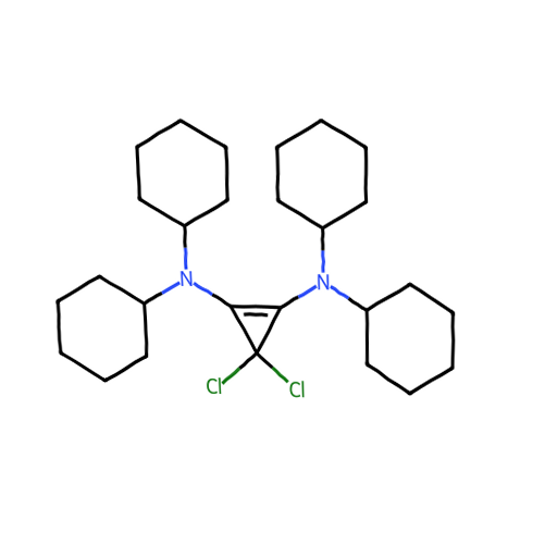 ClC1(Cl)C(N(C2CCCCC2)C2CCCCC2)=C1N(C1CCCCC1)C1CCCCC1